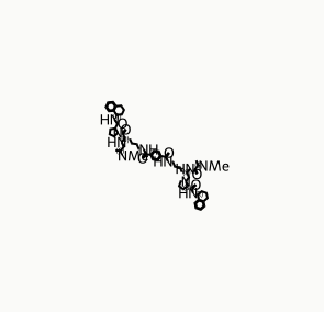 CN[C@@H](C)C(=O)N[C@@H](CCCCNC(=O)c1ccc(C(=O)NCCCC[C@H](NC[C@H](C)NC)C(=O)N2CCCC2C(=O)N[C@@H]2CCCc3ccccc32)cc1)CN1CCC[C@H]1C(=O)N[C@@H]1CCCc2ccccc21